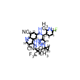 Cc1nc(F)ccc1C(Nc1cc(C#N)c2ncc(C#N)c(NCC(C)(C)C(F)(F)F)c2c1)c1cn(C2(C(F)(F)F)CC2)nn1